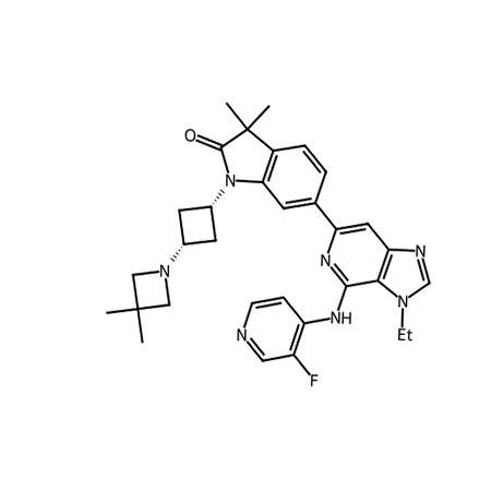 CCn1cnc2cc(-c3ccc4c(c3)N([C@H]3C[C@@H](N5CC(C)(C)C5)C3)C(=O)C4(C)C)nc(Nc3ccncc3F)c21